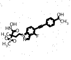 C[C@@H](O)c1ccc(C#Cc2ccc3c(cnn3CCC(C)(C(=O)NO)S(C)(=O)=O)c2F)cc1